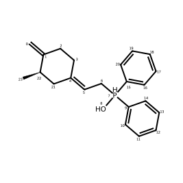 C=C1CC/C(=C\C[PH](O)(c2ccccc2)c2ccccc2)C[C@H]1C